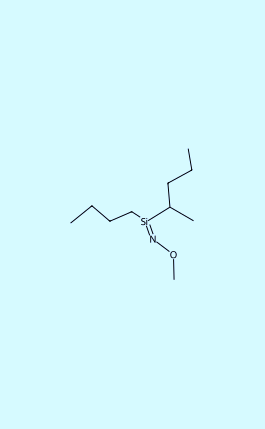 CCCC[Si](=NOC)C(C)CCC